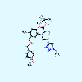 CCn1cc(CCC(c2ccc(C)c(COCc3ccc(OC)cc3)c2)C(C)C(=O)OC(C)(C)C)nn1